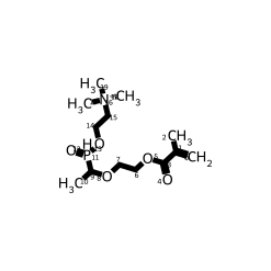 C=C(C)C(=O)OCCOC(C)[PH](=O)OCC[N+](C)(C)C